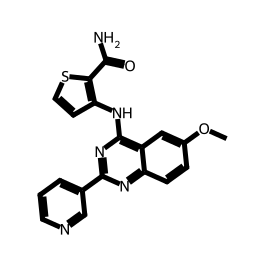 COc1ccc2nc(-c3cccnc3)nc(Nc3ccsc3C(N)=O)c2c1